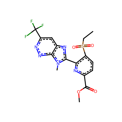 CCS(=O)(=O)c1ccc(C(=O)OC)nc1-c1nc2cc(C(F)(F)F)nnc2n1C